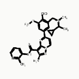 Cc1ncccc1NC(=O)c1c(N)nn2ccc(-c3cc(CN(C)C(C)C4CC4)c(C=O)c(OC(F)(F)F)c3)nc12